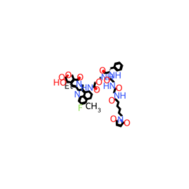 CC[C@@]1(O)C(=O)OCc2c1cc1n(c2=O)Cc2c-1nc1cc(F)c(C)c3c1c2[C@@H](NC(=O)COCNC(=O)[C@H](Cc1ccccc1)NC(=O)CNC(=O)CNC(=O)CCCCCN1C(=O)C=CC1=O)CC3